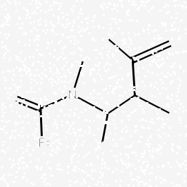 C=C(C)C(C)C(C)N(C)C(=C)CC